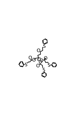 O=C(CCSc1ccccc1)CCC(COC(=O)CCSc1ccccc1)(COC(=O)CCSc1ccccc1)COC(=O)CCSc1ccccc1